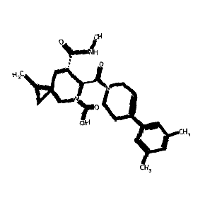 Cc1cc(C)cc(C2=CCN(C(=O)[C@@H]3[C@@H](C(=O)NO)CC4(CC4C)CN3C(=O)O)CC2)c1